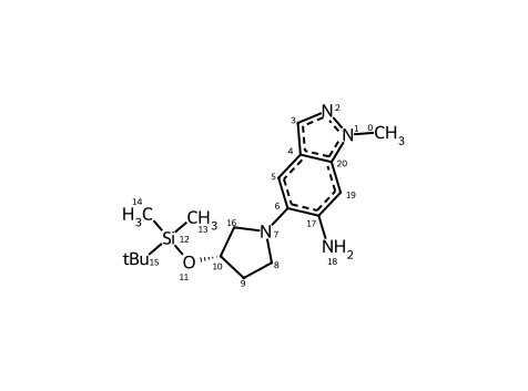 Cn1ncc2cc(N3CC[C@H](O[Si](C)(C)C(C)(C)C)C3)c(N)cc21